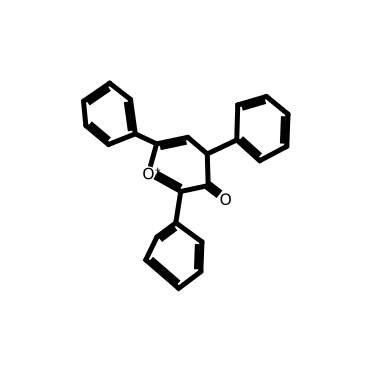 O=C1C(c2ccccc2)=[O+]C(c2ccccc2)=CC1c1ccccc1